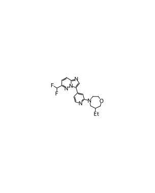 CCC1COCCN(c2cc(-c3cnc4ccc(C(F)F)nn34)ccn2)C1